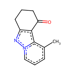 Cc1cccn2nc3c(c12)C(=O)CCC3